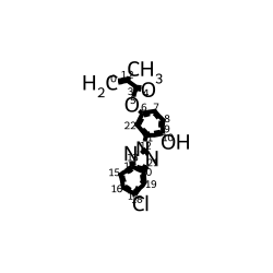 C=C(C)C(=O)Oc1ccc(O)c(-n2nc3ccc(Cl)cc3n2)c1